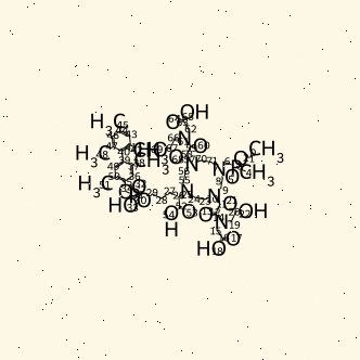 CCOP(C)(=O)CN1CCN(CC(=O)N(CC(=O)O)CC(=O)O)CCN([C@H](CCCOP(=O)(O)Oc2cc(C)c(-c3c(C)cc(C)cc3C)cc2C)C(=O)O)CCN(CC(=O)N(CC(=O)O)CC(=O)O)CC1